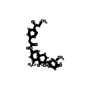 CC[S+]([O-])c1ccc(CC(=O)Nc2cc(C)c3c(n2)CCC(C)(c2ccc(=O)n(C)n2)C3=O)cc1